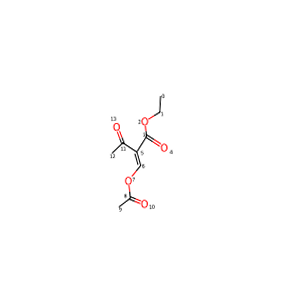 CCOC(=O)C(=COC(C)=O)C(C)=O